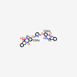 COc1cc2c(cc1OCc1cccc(COc3cc4c(cc3OC)C(=O)N3Cc5ccccc5C[C@H]3C(O)N4C(C)C)n1)NC[C@@H]1Cc3ccccc3CN1C2=O